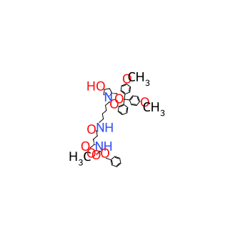 COC(=O)[C@@H](CCC(=O)NCCCCCC(=O)N1C[C@H](O)C[C@H]1COC(c1ccccc1)(c1ccc(OC)cc1)c1ccc(OC)cc1)NC(=O)OCc1ccccc1